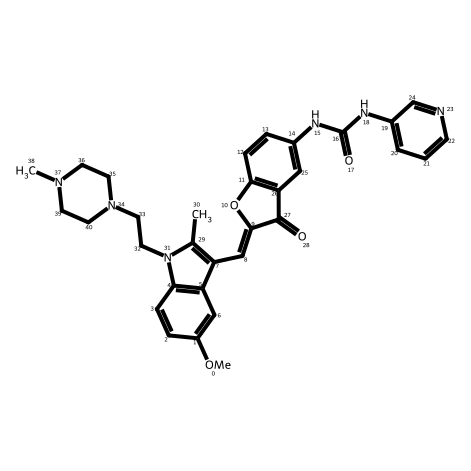 COc1ccc2c(c1)c(/C=C1\Oc3ccc(NC(=O)Nc4cccnc4)cc3C1=O)c(C)n2CCN1CCN(C)CC1